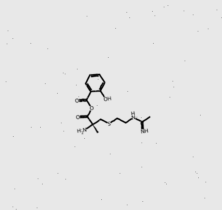 CC(=N)NCCSC[C@](C)(N)C(=O)OC(=O)c1ccccc1O